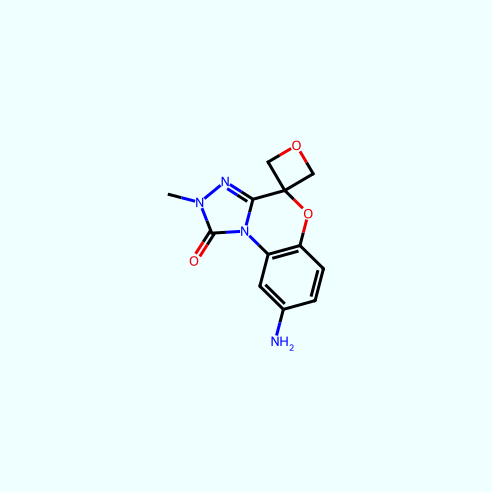 Cn1nc2n(c1=O)-c1cc(N)ccc1OC21COC1